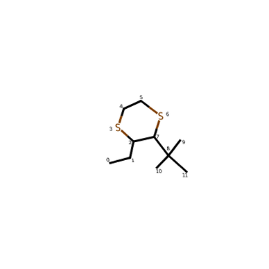 CCC1SCCSC1C(C)(C)C